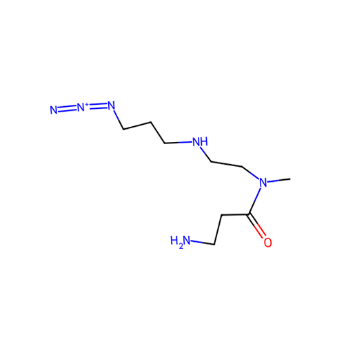 CN(CCNCCCN=[N+]=[N-])C(=O)CCN